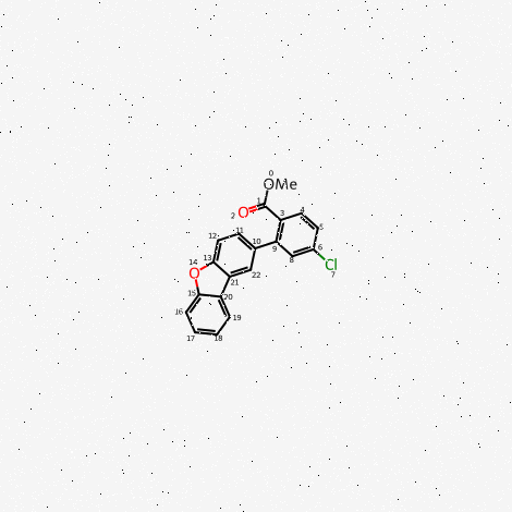 COC(=O)c1ccc(Cl)cc1-c1ccc2oc3ccccc3c2c1